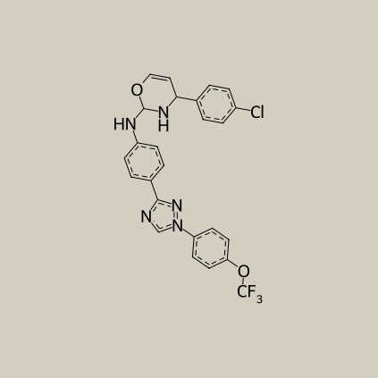 FC(F)(F)Oc1ccc(-n2cnc(-c3ccc(NC4NC(c5ccc(Cl)cc5)C=CO4)cc3)n2)cc1